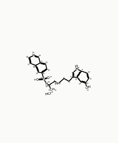 CC(CNCCc1c[nH]c2ccc(O)cc12)NS(=O)(=O)c1ccc2cnccc2c1.Cl